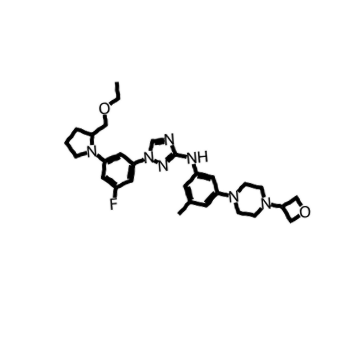 CCOCC1CCCN1c1cc(F)cc(-n2cnc(Nc3cc(C)cc(N4CCN(C5COC5)CC4)c3)n2)c1